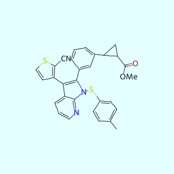 COC(=O)C1CC1c1cccc(-c2c(-c3ccsc3C#N)c3cccnc3n2Sc2ccc(C)cc2)c1